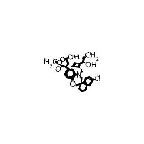 C=C[C@H](O)[C@@H]1CC[C@H]1CN1C[C@@]2(CCCc3cc(Cl)ccc32)COc2ccc(C(CC(=O)O)C(=O)OC)cc21